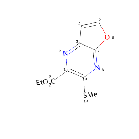 CCOC(=O)c1nc2ccoc2nc1SC